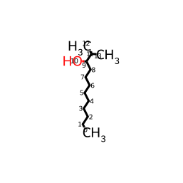 CCCCCCCCCC(O)C(C)C